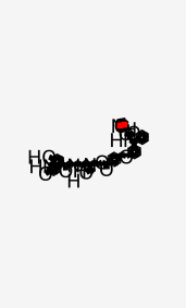 CC(=O)N(CCCNCC(O)c1ccc(O)c2[nH]c(=O)ccc12)CCOC(=O)c1ccc(COc2cccc(C(NC(=O)O[C@H]3CN4CCC3CC4)c3ccccc3)c2)cc1